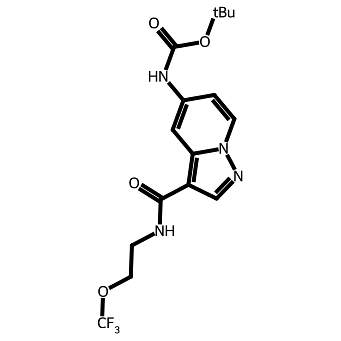 CC(C)(C)OC(=O)Nc1ccn2ncc(C(=O)NCCOC(F)(F)F)c2c1